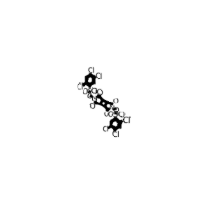 O=C1C2C(C(=O)N1OS(=O)(=O)c1cc(Cl)c(Cl)cc1Cl)C1C(=O)N(OS(=O)(=O)c3cc(Cl)c(Cl)cc3Cl)C(=O)C21